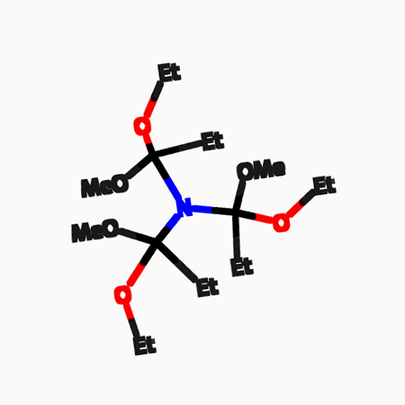 CCOC(CC)(OC)N(C(CC)(OC)OCC)C(CC)(OC)OCC